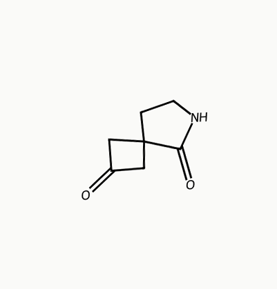 O=C1CC2(CCNC2=O)C1